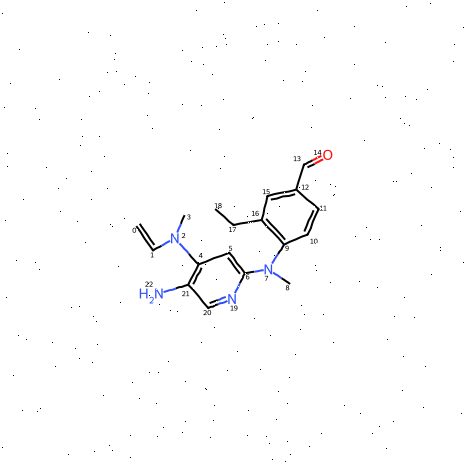 C=CN(C)c1cc(N(C)c2ccc(C=O)cc2CC)ncc1N